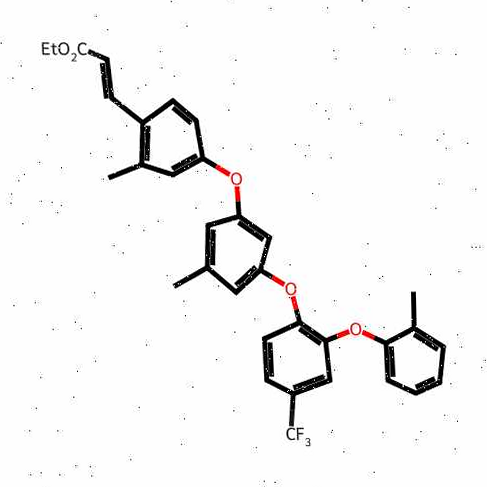 CCOC(=O)/C=C/c1ccc(Oc2cc(C)cc(Oc3ccc(C(F)(F)F)cc3Oc3ccccc3C)c2)cc1C